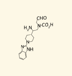 NC(CN(CC=O)C(=O)O)C1CCN(c2nc3ccccc3[nH]2)CC1